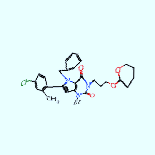 CCn1c(=O)n(CCCOC2CCCCO2)c(=O)c2c1cc(-c1ccc(Cl)cc1C)n2Cc1ccccc1